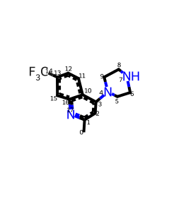 Cc1cc(N2CCNCC2)c2ccc(C(F)(F)F)cc2n1